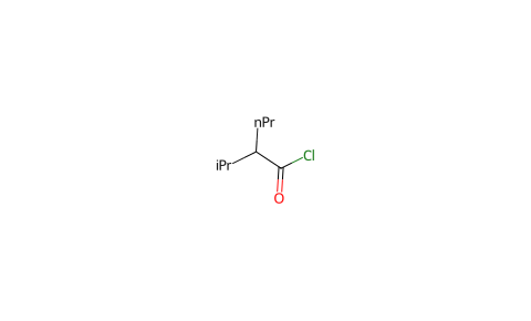 CCCC(C(=O)Cl)C(C)C